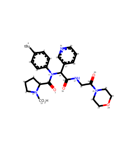 CC(C)(C)c1ccc(N(C(=O)C2CCCN2C(=O)O)C(C(=O)NCC(=O)N2CCOCC2)c2cccnc2)cc1